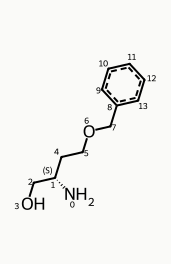 N[C@H](CO)CCOCc1ccccc1